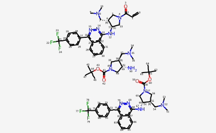 C=CC(=O)N1C[C@@H](CN(C)C)[C@H](Nc2nnc(-c3ccc(C(F)(F)F)cc3)c3ccccc23)C1.CN(C)C[C@@H]1CN(C(=O)OC(C)(C)C)C[C@H]1N.CN(C)C[C@@H]1CN(C(=O)OC(C)(C)C)C[C@H]1Nc1nnc(-c2ccc(C(F)(F)F)cc2)c2ccccc12